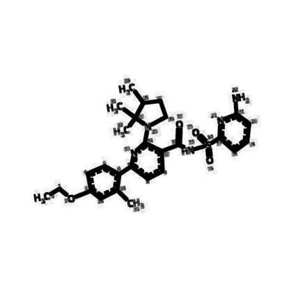 CCOc1ccc(-c2ccc(C(=O)NS(=O)(=O)c3cccc(N)n3)c(N3CCC(C)C3(C)C)n2)c(C)c1